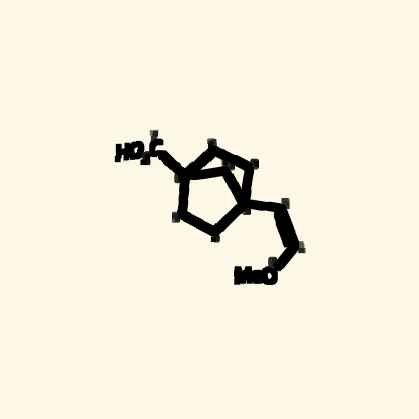 CO/C=C\C12CCC(C(=O)O)(CC1)C2